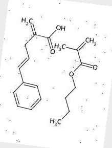 C=C(C)C(=O)OCCCC.C=C(CC=Cc1ccccc1)C(=O)O